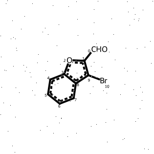 O=Cc1oc2ccccc2c1Br